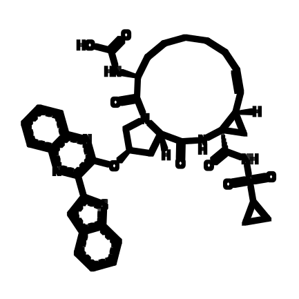 O=C(O)N[C@H]1CCCCC/C=C\[C@@H]2C[C@@]2(C(=O)NS(=O)(=O)C2CC2)NC(=O)[C@@H]2C[C@@H](Oc3nc4ccccc4nc3-c3cc4ccccc4s3)CN2C1=O